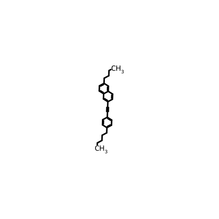 CCCCCc1ccc(C#Cc2ccc3cc(CCCC)ccc3c2)cc1